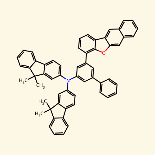 CC1(C)c2ccccc2-c2ccc(N(c3cc(-c4ccccc4)cc(-c4cccc5c4oc4cc6ccccc6cc45)c3)c3ccc4c(c3)C(C)(C)c3ccccc3-4)cc21